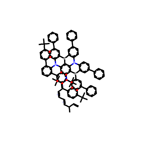 C=CC(C)/C=C/C=C\C(=C(\N1c2ccc(-c3ccccc3)cc2B2c3cc(-c4ccccc4)ccc3N3c4ccc(-c5ccccc5)cc4B4c5cc(-c6ccccc6)ccc5N(c5c(-c6ccc(C(C)(C)C)cc6)cccc5-c5ccc(C(C)(C)C)cc5)c5cc1c2c3c54)C(C)(C)C)c1ccc(C(C)(C)C)cc1